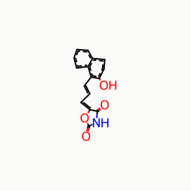 O=C1NC(=O)C(=CC=Cc2c(O)ccc3ccccc23)O1